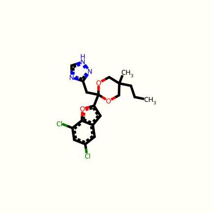 CCCC1(C)COC(Cc2nc[nH]n2)(c2cc3cc(Cl)cc(Cl)c3o2)OC1